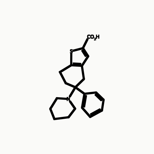 O=C(O)c1cc2c(s1)CCC(c1ccccc1)(N1CCCCC1)C2